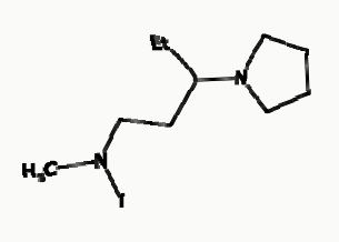 CCC(CCN(C)I)N1CCCC1